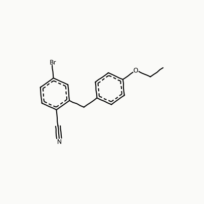 CCOc1ccc(Cc2cc(Br)ccc2C#N)cc1